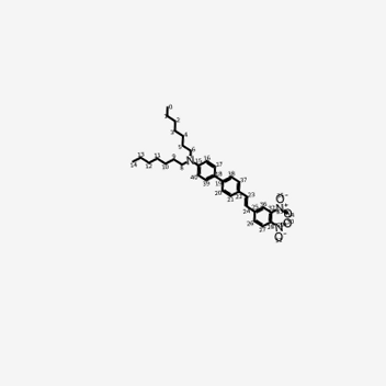 CCCCCCCN(CCCCCCC)c1ccc(-c2ccc(/C=C/c3ccc([N+](=O)[O-])c([N+](=O)[O-])c3)cc2)cc1